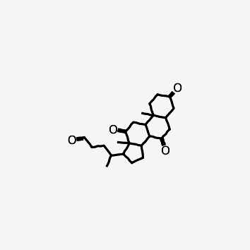 CC(CCC=O)C1CCC2C3C(=O)CC4CC(=O)CCC4(C)C3CC(=O)C12C